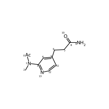 CC(=O)N(C)c1cc(CCC(N)=O)ccn1